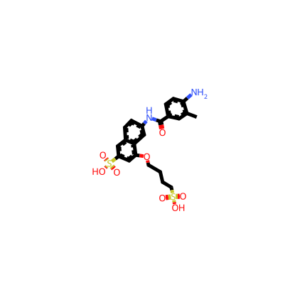 Cc1cc(C(=O)Nc2ccc3cc(S(=O)(=O)O)cc(OCCCCS(=O)(=O)O)c3c2)ccc1N